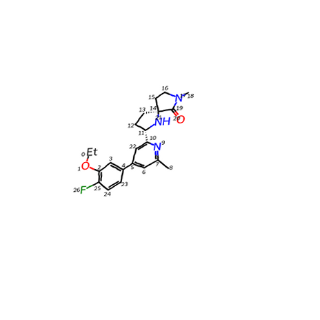 CCOc1cc(-c2cc(C)nc([C@@H]3CC[C@@]4(CCN(C)C4=O)N3)c2)ccc1F